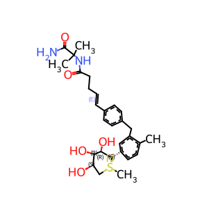 Cc1ccc([C@H]2[C@H](O)[C@H](O)[C@H](O)C[SH]2C)cc1Cc1ccc(/C=C/CCC(=O)NC(C)(C)C(N)=O)cc1